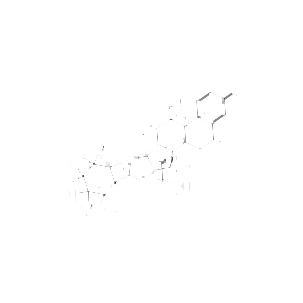 [2H]C1([2H])C([2H])([2H])C([2H])([2H])C([2H])(C2O[C@@H]3CC4[C@@H]5CCC6=CC(=O)C=C[C@]6(C)C5[C@@H](O)C[C@]4(C)[C@]3(C(=O)CO)O2)C([2H])([2H])C1([2H])[2H]